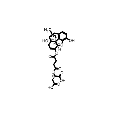 CN1CC[C@]23c4c5ccc(O)c4O[C@H]2C(OC(=O)CCC(=O)O[C@H](CC(=O)O)C(=O)O)=CC[C@@]3(O)C1C5